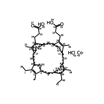 CCC1=C(C)c2cc3[nH]c(cc4nc(cc5[nH]c(cc1n2)c(C)c5CCC(=O)O)C(CCC(=O)O)=C4C)c(C)c3CC.Cl.[Co]